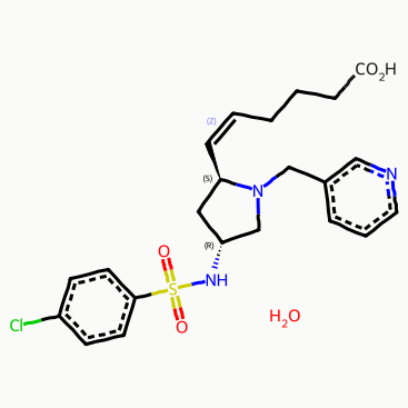 O.O=C(O)CCC/C=C\[C@@H]1C[C@@H](NS(=O)(=O)c2ccc(Cl)cc2)CN1Cc1cccnc1